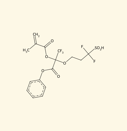 C=C(C)C(=O)OC(OCCC(F)(F)S(=O)(=O)O)(C(=O)Oc1ccccc1)C(F)(F)F